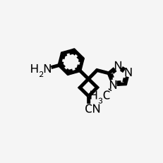 Cn1cnnc1CC1(c2cccc(N)c2)CC(C#N)C1